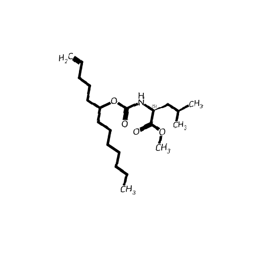 C=CCCCC(CCCCCCC)OC(=O)N[C@@H](CC(C)C)C(=O)OC